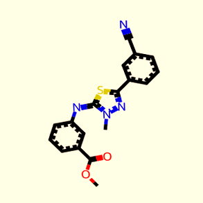 COC(=O)c1cccc(N=c2sc(-c3cccc(C#N)c3)nn2C)c1